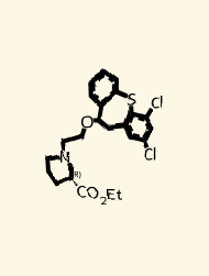 CCOC(=O)[C@@H]1CCCN(CCOC2Cc3cc(Cl)cc(Cl)c3Sc3ccccc32)C1